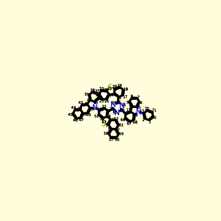 c1ccc(-n2c3ccccc3c3c(-c4nc(-c5cccc6sc7ccccc7c56)nc(-c5cc(-n6c7ccccc7c7cc8ccccc8cc76)cc6sc7c8ccccc8ccc7c56)n4)cccc32)cc1